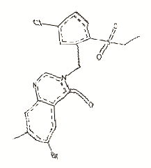 CCS(=O)(=O)c1ccc(Cl)cc1Cn1cnc2cc(C)c(Br)cc2c1=O